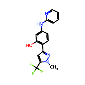 Cn1nc(-c2ccc(Nc3ccccn3)cc2O)cc1C(F)(F)F